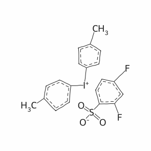 Cc1ccc([I+]c2ccc(C)cc2)cc1.O=S(=O)([O-])c1ccc(F)cc1F